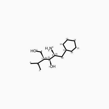 CC(C)[C@@H](CO)[C@H](O)[C@@H](N)CC1CCCCC1